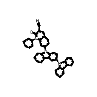 N#Cc1cc2ccc(-n3c4ccccc4c4cc(-n5c6ccccc6c6ccccc65)ccc43)cc2n(-c2ccccc2)c1=O